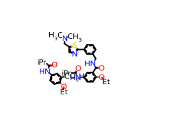 CCOc1ccc(NC(=O)C(C)C)cc1C(=O)NCc1cccc(-c2ncc(CN(C)C)s2)c1.CCOc1ccc(NC(=O)C(C)C)cc1C(=O)O